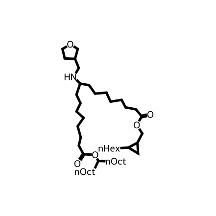 CCCCCCCCC(CCCCCCCC)OC(=O)CCCCCCCC(CCCCCCCC(=O)OCC1CC1CCCCCC)NCC1CCOC1